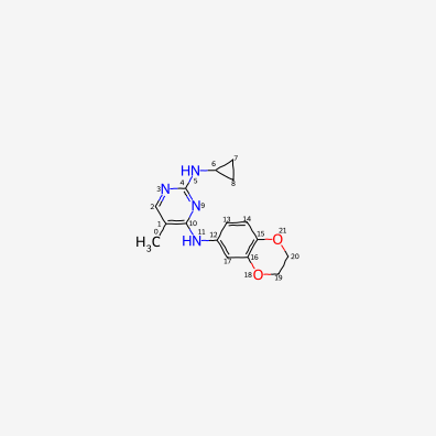 Cc1cnc(NC2CC2)nc1Nc1ccc2c(c1)OCCO2